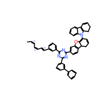 C\C=C/C=C\C=C\c1cccc(-c2nc(-c3cccc(-c4ccccc4)c3)nc(-c3ccc4c(c3)OC3=C(n5c6c(c7ccccc75)C=CCC6)C=CCC34)n2)c1